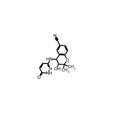 CC1(C)Oc2ccc(C#N)cc2C(Nc2ccc(=O)[nH]n2)C1O